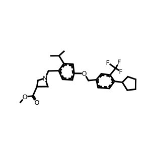 COC(=O)C1CN(Cc2ccc(OCc3ccc(C4CCCC4)c(C(F)(F)F)c3)cc2C(C)C)C1